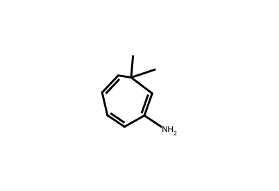 CC1(C)C=CC=CC(N)=C1